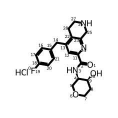 Cl.O=C(N[C@@H]1COCC[C@@H]1O)c1cc(Cc2ccc(F)cc2)c2c(n1)CNCC2